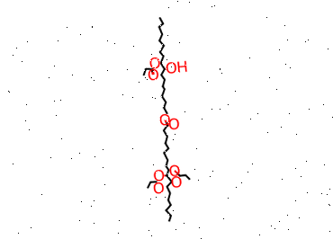 CCCCCCCCC(OC(=O)CC)C(O)CCCCCCCCOC(=O)CCCCCCCC(OC(=O)CC)C(CCCCCCCC)OC(=O)CC